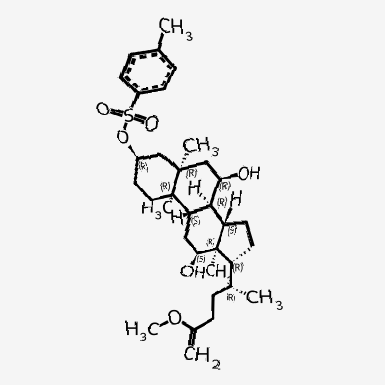 C=C(CC[C@@H](C)[C@H]1CC[C@H]2[C@@H]3[C@H](O)C[C@]4(C)C[C@H](OS(=O)(=O)c5ccc(C)cc5)CC[C@]4(C)[C@H]3C[C@H](O)[C@]12C)OC